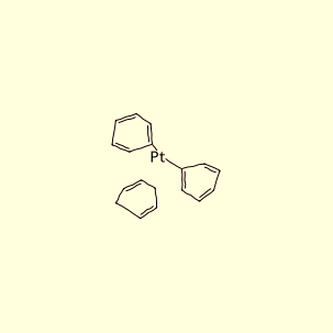 C1=CCC=CC1.c1cc[c]([Pt][c]2ccccc2)cc1